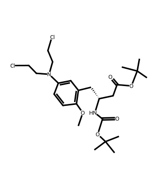 COc1ccc(N(CCCl)CCCl)cc1C[C@H](CC(=O)OC(C)(C)C)NC(=O)OC(C)(C)C